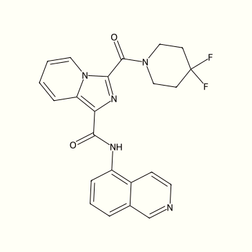 O=C(Nc1cccc2cnccc12)c1nc(C(=O)N2CCC(F)(F)CC2)n2ccccc12